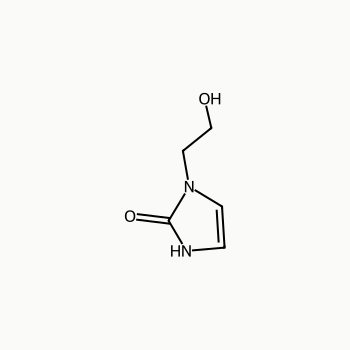 O=c1[nH]ccn1CCO